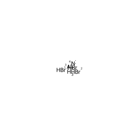 Br.Br.Br.[AlH3].[N]